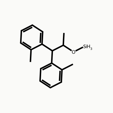 Cc1ccccc1C(c1ccccc1C)C(C)O[SiH3]